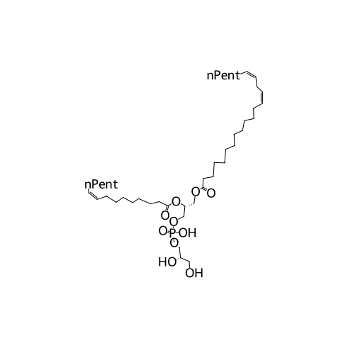 CCCCC/C=C\C/C=C\CCCCCCCCCCCC(=O)OC[C@H](COP(=O)(O)OC[C@@H](O)CO)OC(=O)CCCCCCC/C=C\CCCCC